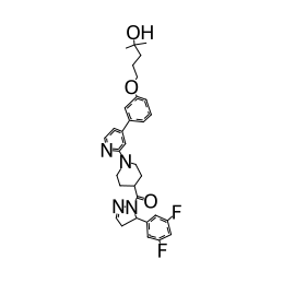 CC(C)(O)CCCOc1cccc(-c2ccnc(N3CCC(C(=O)N4N=CCC4c4cc(F)cc(F)c4)CC3)c2)c1